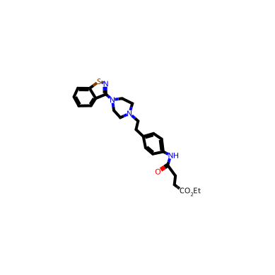 CCOC(=O)CCC(=O)Nc1ccc(CCN2CCN(c3nsc4ccccc34)CC2)cc1